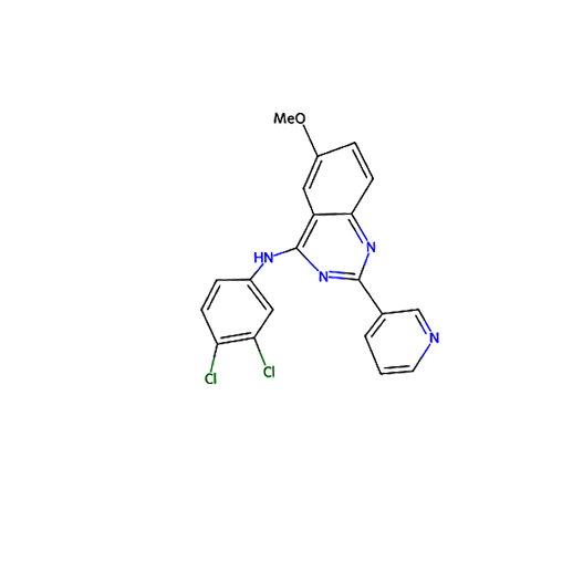 COc1ccc2nc(-c3cccnc3)nc(Nc3ccc(Cl)c(Cl)c3)c2c1